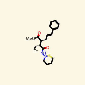 COC(=O)[C@@H](CC=Cc1ccccc1)[C@@H](CC(C)C)C(=O)NN1CCCCS1